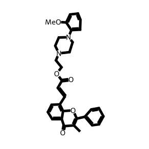 COc1ccccc1N1CCN(CCOC(=O)/C=C/c2cccc3c(=O)c(C)c(-c4ccccc4)oc23)CC1